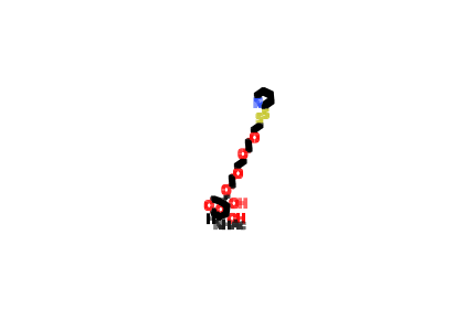 CC(=O)N[C@H]1[C@H]2OC[C@](COCCOCCOCCOCCSSc3ccccn3)(O2)[C@H](O)[C@@H]1O